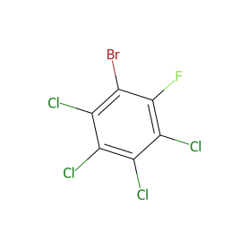 Fc1c(Cl)c(Cl)c(Cl)c(Cl)c1Br